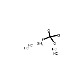 Cl.Cl.Cl.Cl.FC(Cl)(Cl)Cl.[SiH4]